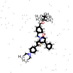 CCN(CC)c1ccc(-c2cc3c(s2)c(-c2ccccc2)cc(=O)n3Cc2ccc(CO[Si](C)(C)C(C)(C)C)cc2)cc1